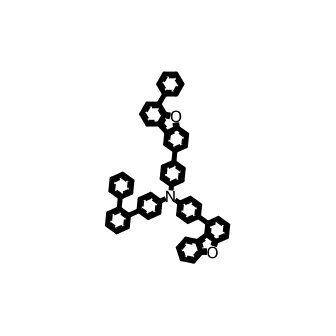 c1ccc(-c2ccccc2-c2ccc(N(c3ccc(-c4ccc5oc6c(-c7ccccc7)cccc6c5c4)cc3)c3ccc(-c4cccc5oc6ccccc6c45)cc3)cc2)cc1